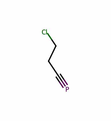 P#CCCCl